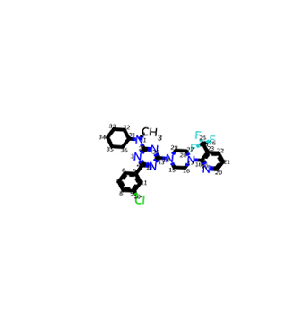 CN(c1nc(-c2cccc(Cl)c2)nc(N2CCN(c3ncccc3C(F)(F)F)CC2)n1)C1CCCCC1